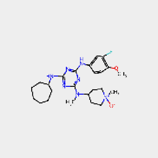 COc1ccc(Nc2nc(NC3CCCCCC3)nc(N(C)C3CC[N+](C)([O-])CC3)n2)cc1F